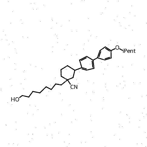 CCCC(C)Oc1ccc(-c2ccc(C3CCCC(C#N)(CCCCCCCCO)C3)cc2)cc1